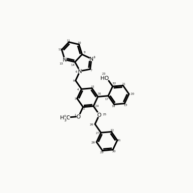 COc1cc(Cn2cnc3cccnc32)cc(-c2ccccc2O)c1OCc1ccccc1